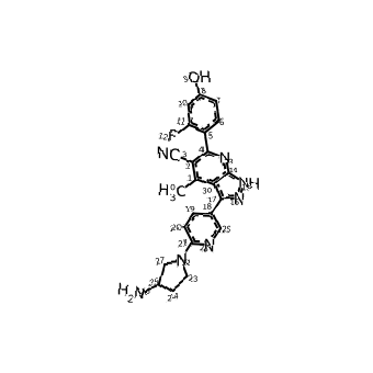 Cc1c(C#N)c(-c2ccc(O)cc2F)nc2[nH]nc(-c3ccc(N4CCC(N)C4)nc3)c12